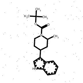 CC1CC(c2c[nH]c3ccccc23)CCN1C(=O)OC(C)(C)C